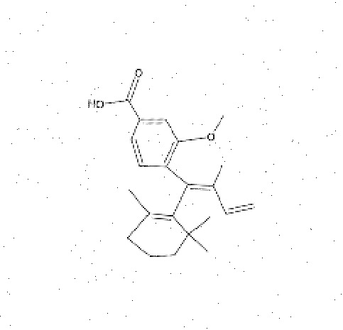 C=CC(C)=C(C1=C(C)CCCC1(C)C)c1ccc(C(=O)O)cc1OC